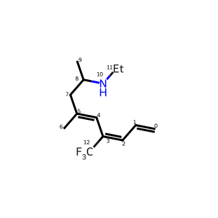 C=C/C=C(\C=C(/C)CC(C)NCC)C(F)(F)F